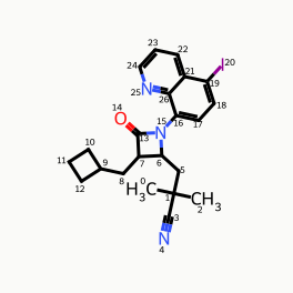 CC(C)(C#N)CC1C(CC2CCC2)C(=O)N1c1ccc(I)c2cccnc12